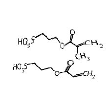 C=C(C)C(=O)OCCCS(=O)(=O)O.C=CC(=O)OCCCS(=O)(=O)O